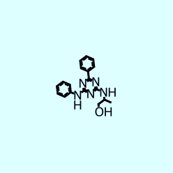 CC(CO)Nc1nc(Nc2ccccc2)nc(-c2ccccc2)n1